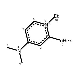 CCCCCCc1cc(N(C)C)cc[n+]1CC